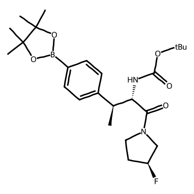 C[C@@H](c1ccc(B2OC(C)(C)C(C)(C)O2)cc1)[C@H](NC(=O)OC(C)(C)C)C(=O)N1CC[C@H](F)C1